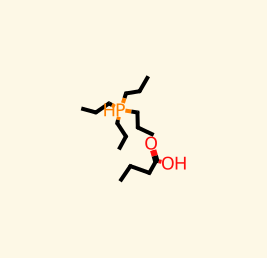 CCCC(=O)O.CCC[PH](CCC)(CCC)CCC